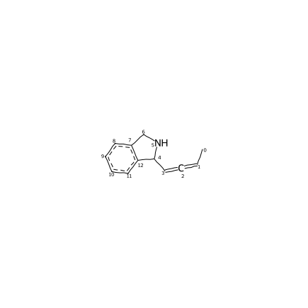 CC=C=CC1NCc2ccccc21